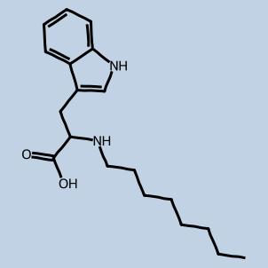 CCCCCCCCNC(Cc1c[nH]c2ccccc12)C(=O)O